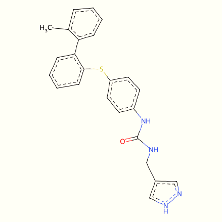 Cc1ccccc1-c1ccccc1Sc1ccc(NC(=O)NCc2cn[nH]c2)cc1